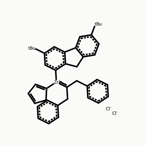 CC(C)(C)c1ccc2c(c1)-c1cc(C(C)(C)C)c[c]([Zr+2]([C]3=CC=CC3)=[C](Cc3ccccc3)Cc3ccccc3)c1C2.[Cl-].[Cl-]